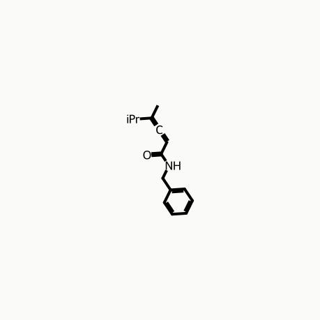 CC(=C=CC(=O)NCc1ccccc1)C(C)C